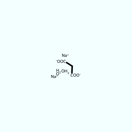 O.O.O=C([O-])CC(=O)[O-].[Na+].[Na+]